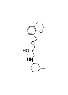 CC1CCCC(NCC(O)COSc2cccc3c2OCCC3)C1